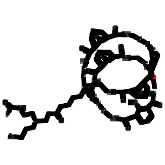 CC(=O)CCCN(CCNC(=O)F)CCC(=O)CCCCCC1CN2CCNC(=O)c3cccc(c3O)C(=O)NCCN(CCNC(=O)c3cccc(c3O)C(=O)N1)CCN1CCNC(=O)c3cccc(c3O)C(=O)NCCN(CCNC(=O)c3cccc(c3O)C(=O)NCC1)CC2